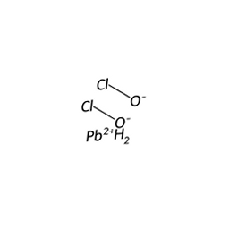 [O-]Cl.[O-]Cl.[PbH2+2]